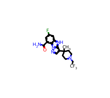 CC1(c2cnn3c2[nH]c2cc(F)cc(C(N)=O)c23)CCN(CC(F)(F)F)CC1